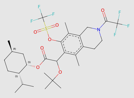 Cc1c2c(c(C)c(C(OC(C)(C)C)C(=O)O[C@H]3C[C@H](C)CC[C@H]3C(C)C)c1OS(=O)(=O)C(F)(F)F)CCN(C(=O)C(F)(F)F)C2